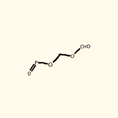 O=[C]OCOP=O